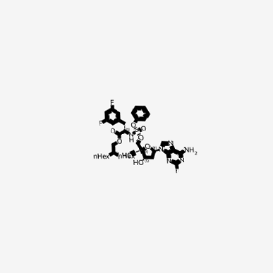 C#C[C@]1(COP(=O)(N[C@@H](Cc2cc(F)cc(F)c2)C(=O)OCC(CCCCCC)CCCCCC)Oc2ccccc2)O[C@@H](n2cnc3c(N)nc(F)nc32)C[C@@H]1O